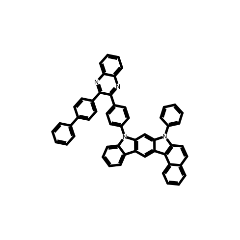 c1ccc(-c2ccc(-c3nc4ccccc4nc3-c3ccc(-n4c5ccccc5c5cc6c7c8ccccc8ccc7n(-c7ccccc7)c6cc54)cc3)cc2)cc1